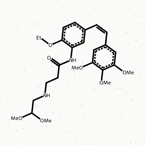 CCOc1ccc(/C=C\c2cc(OC)c(OC)c(OC)c2)cc1NC(=O)CCNCC(OC)OC